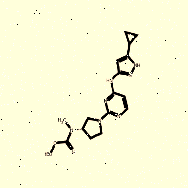 CN(C(=O)OC(C)(C)C)[C@H]1CCN(c2nccc(Nc3cc(C4CC4)[nH]n3)n2)C1